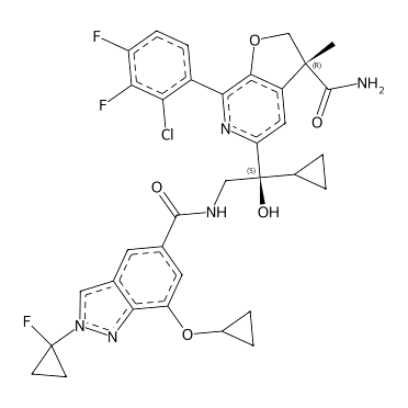 C[C@]1(C(N)=O)COc2c1cc([C@@](O)(CNC(=O)c1cc(OC3CC3)c3nn(C4(F)CC4)cc3c1)C1CC1)nc2-c1ccc(F)c(F)c1Cl